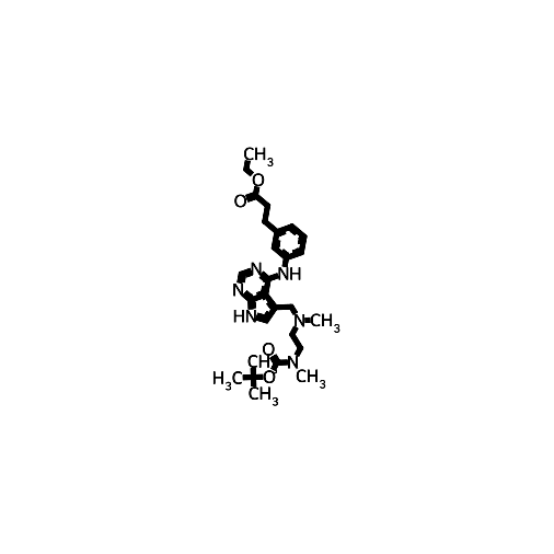 CCOC(=O)CCc1cccc(Nc2ncnc3[nH]cc(CN(C)CCN(C)C(=O)OC(C)(C)C)c23)c1